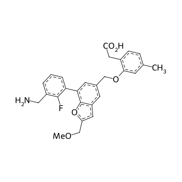 COCc1cc2cc(COc3cc(C)ccc3CC(=O)O)cc(-c3cccc(CN)c3F)c2o1